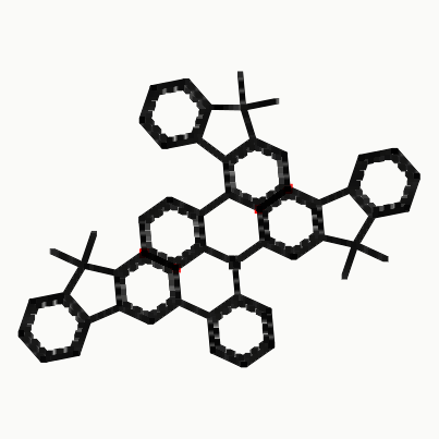 CC1(C)c2ccccc2-c2cc(-c3ccccc3N(c3ccc4c(c3)C(C)(C)c3ccccc3-4)c3ccccc3-c3cccc4c3-c3ccccc3C4(C)C)ccc21